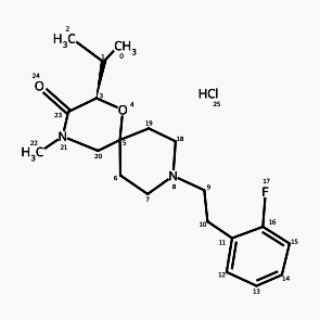 CC(C)[C@H]1OC2(CCN(CCc3ccccc3F)CC2)CN(C)C1=O.Cl